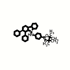 CC1(C)OB(c2ccc(Nn3c4ccccc4c4ccc(-c5ccccc5)c(-c5ccccc5)c43)cc2)OC1(C)C